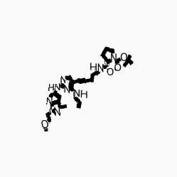 CCCNc1nc(Nc2cnc3c(c2)c(C)nn3CCOC)ncc1C#CCCCNC(=O)[C@@H]1CCCN1C(=O)OC(C)(C)C